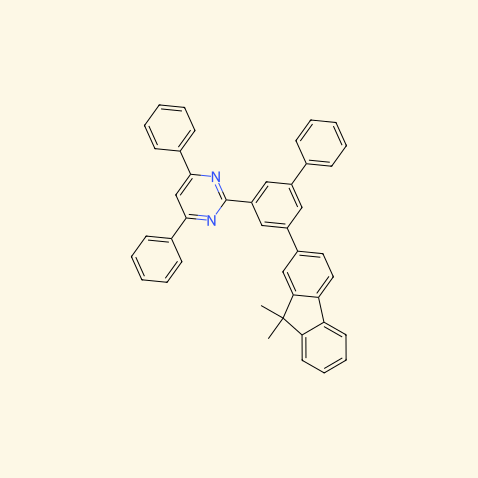 CC1(C)c2ccccc2-c2ccc(-c3cc(-c4ccccc4)cc(-c4nc(-c5ccccc5)cc(-c5ccccc5)n4)c3)cc21